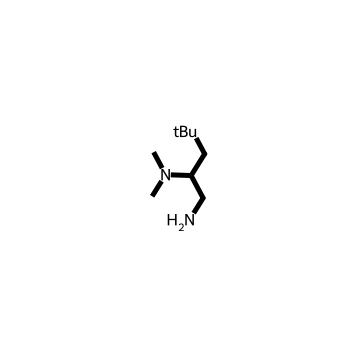 CN(C)C(CN)CC(C)(C)C